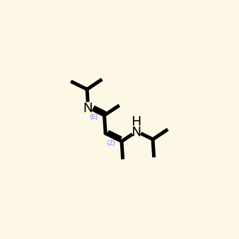 C/C(=C/C(C)=N/C(C)C)NC(C)C